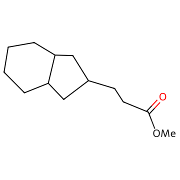 COC(=O)CCC1CC2CCCCC2C1